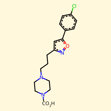 O=C(O)N1CCN(CCCc2cc(-c3ccc(Cl)cc3)on2)CC1